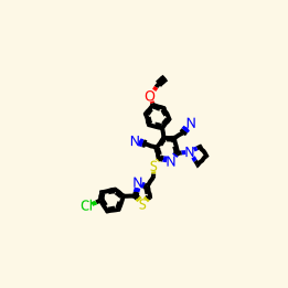 C#COc1ccc(-c2c(C#N)c(SCc3csc(-c4ccc(Cl)cc4)n3)nc(N3CCC3)c2C#N)cc1